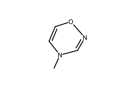 CN1C=CON=C1